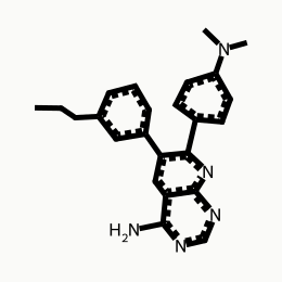 CCCc1cccc(-c2cc3c(N)ncnc3nc2-c2ccc(N(C)C)cc2)c1